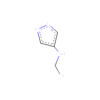 CCCCCNc1cn[nH]c1